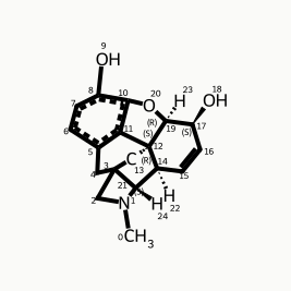 CN1CC23Cc4ccc(O)c5c4[C@]4(C2)[C@@H](C=C[C@H](O)[C@@H]4O5)[C@H]13